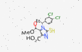 CCC(c1ccc(Cl)c(Cl)c1)n1c(S)nc(C(=O)O)c1C(=O)OC